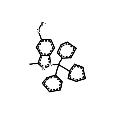 CC(C)Oc1ccc2c(c1)c(I)nn2C(c1ccccc1)(c1ccccc1)c1ccccc1